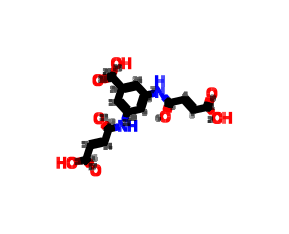 O=C(O)/C=C/C(=O)Nc1cc(NC(=O)/C=C/C(=O)O)cc(C(=O)O)c1